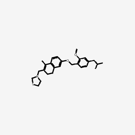 COc1cc(CC(C)C)ccc1COc1ccc2c(c1)CCC(CN1CCSC1)=C2C